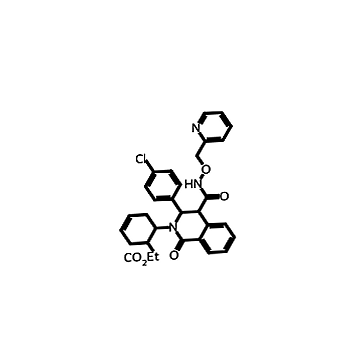 CCOC(=O)C1CC=CCC1N1C(=O)c2ccccc2C(C(=O)NOCc2ccccn2)C1c1ccc(Cl)cc1